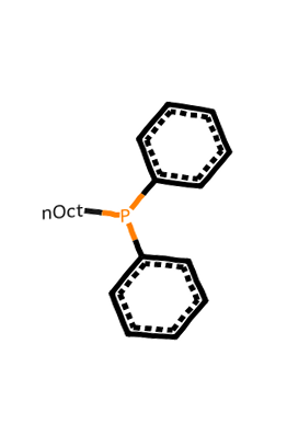 CCCCCCCCP(c1ccccc1)c1ccccc1